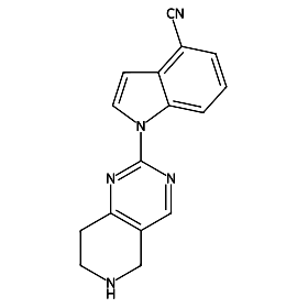 N#Cc1cccc2c1ccn2-c1ncc2c(n1)CCNC2